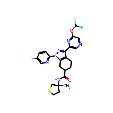 CC1(NC(=O)C2CCc3c(-c4cncc(OC(F)F)n4)nn(-c4ccc(F)cn4)c3C2)CCSC1